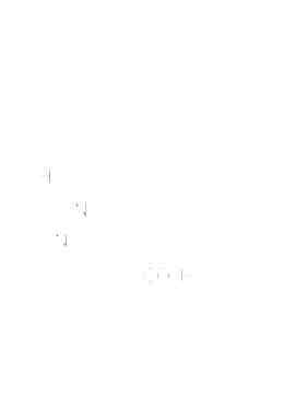 Cn1ncc(C(=O)O)c1OCc1ccccc1